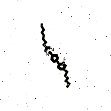 CCCCCCCCc1cnc(-c2ccc(-c3ccc(CCCCCC)cc3F)cc2)nc1